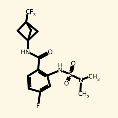 CN(C)S(=O)(=O)Nc1cc(F)ccc1C(=O)NC12CC(C(F)(F)F)(C1)C2